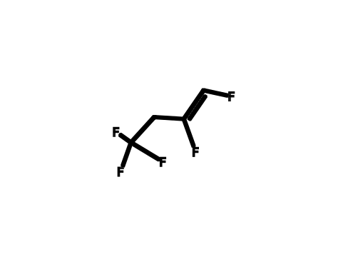 FC=C(F)CC(F)(F)F